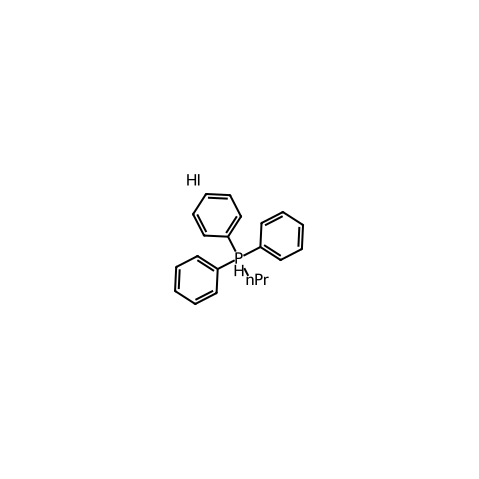 CCC[PH](c1ccccc1)(c1ccccc1)c1ccccc1.I